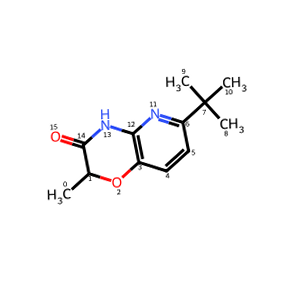 CC1Oc2ccc(C(C)(C)C)nc2NC1=O